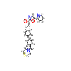 O=C(CCc1ccc(-c2ccc(CN3CCSCC3)cc2)cc1)c1ncc(-c2ccccn2)o1